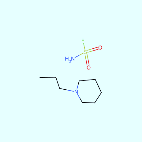 CCCN1CCCCC1.NS(=O)(=O)F